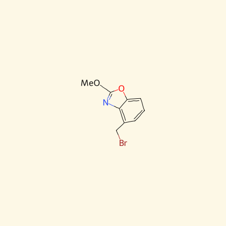 COc1nc2c(CBr)cccc2o1